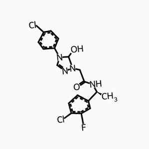 C[C@H](NC(=O)CN1N=CN(c2ccc(Cl)cc2)C1O)c1ccc(Cl)c(F)c1